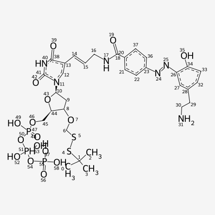 CC(C)(C)SSCOC1C[C@H](n2cc(/C=C/CNC(=O)c3ccc(/N=N/c4cc(CCN)ccc4O)cc3)c(=O)[nH]c2=O)O[C@@H]1COP(=O)(O)O[PH](O)(O)OP(=O)(O)O